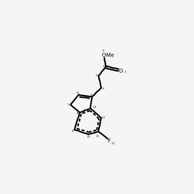 COC(=O)CCC1=CCc2ccc(F)cc21